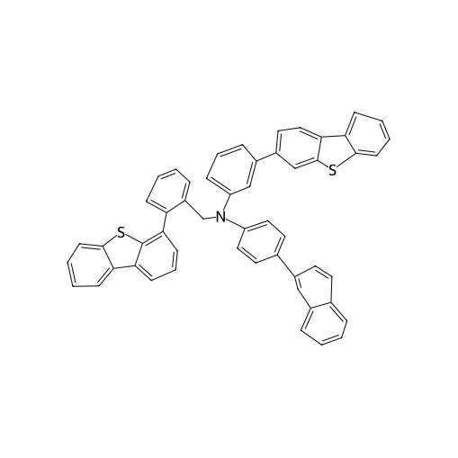 c1cc(-c2ccc3c(c2)sc2ccccc23)cc(N(Cc2ccccc2-c2cccc3c2sc2ccccc23)c2ccc(-c3ccc4ccccc4c3)cc2)c1